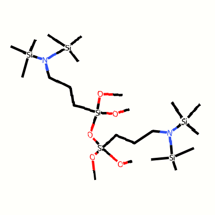 CO[Si](CCCN([Si](C)(C)C)[Si](C)(C)C)(OC)O[Si](CCCN([Si](C)(C)C)[Si](C)(C)C)(OC)OC